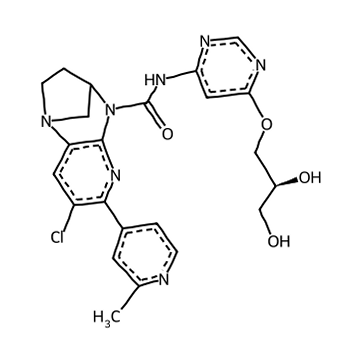 Cc1cc(-c2nc3c(cc2Cl)N2CCC(C2)N3C(=O)Nc2cc(OC[C@@H](O)CO)ncn2)ccn1